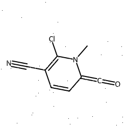 CN1C(=C=O)C=CC(C#N)=C1Cl